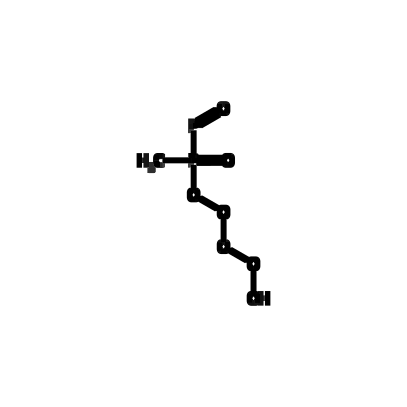 CP(=O)(OOOOO)P=O